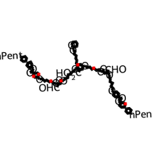 CCCCC[C@H]1CC[C@H](c2ccc(OC(=O)c3ccc(OCCCCCCOC(C=O)CC(=O)OCCCCCCOc4cc(CCCCCCOC5CCCCO5)c(OCCCCCCOC(=O)CC(C=O)OCCCCCCOc5ccc(C(=O)Oc6ccc([C@H]7CC[C@H](CCCCC)CC7)cc6)cc5)c(C(=O)O)c4)cc3)cc2)CC1